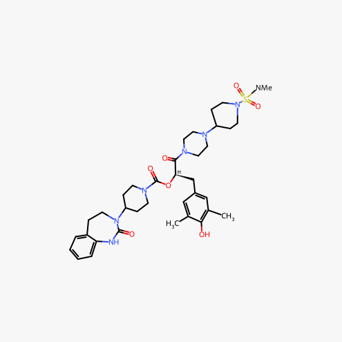 CNS(=O)(=O)N1CCC(N2CCN(C(=O)[C@@H](Cc3cc(C)c(O)c(C)c3)OC(=O)N3CCC(N4CCc5ccccc5NC4=O)CC3)CC2)CC1